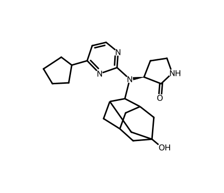 O=C1NCC[C@@H]1N(c1nccc(C2CCCC2)n1)C1C2CC3CC1CC(O)(C3)C2